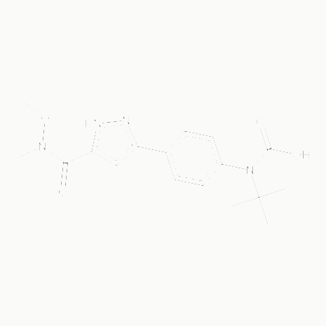 CON(C)C(=O)c1cc(-c2ccc(N(C(=O)O)C(C)(C)C)cc2)n[nH]1